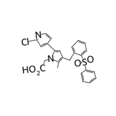 Cc1c(Cc2ccccc2S(=O)(=O)c2ccccc2)cc(-c2ccnc(Cl)c2)n1CC(=O)O